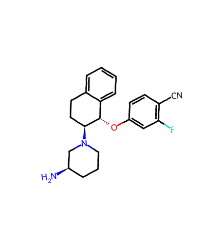 N#Cc1ccc(O[C@H]2c3ccccc3CC[C@@H]2N2CCC[C@@H](N)C2)cc1F